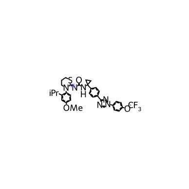 COc1ccc(N2CCCS/C2=N\C(=O)NC2(c3ccc(-c4ncn(-c5ccc(OC(F)(F)F)cc5)n4)cc3)CC2)c(C(C)C)c1